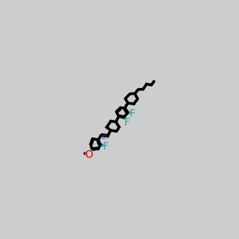 CCCCCC1CCC(c2ccc(C3CCC(/C=C/c4ccc(OC)cc4F)CC3)c(F)c2F)CC1